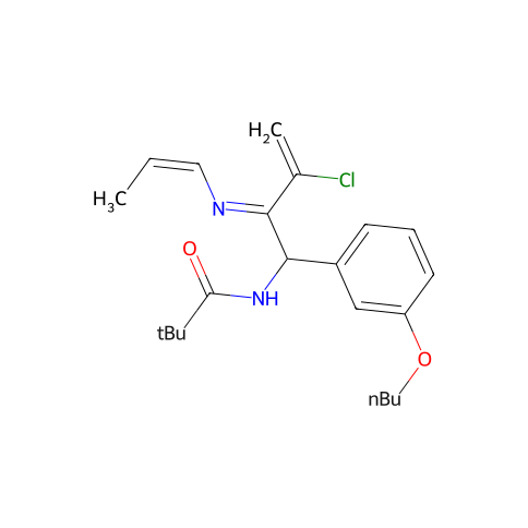 C=C(Cl)/C(=N\C=C/C)C(NC(=O)C(C)(C)C)c1cccc(OCCCC)c1